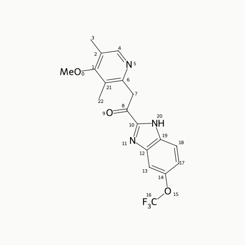 COc1c(C)cnc(CC(=O)c2nc3cc(OC(F)(F)F)ccc3[nH]2)c1C